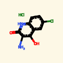 Cl.Nc1c(O)c2cc(Cl)ccc2[nH]c1=O